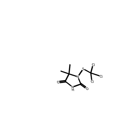 CC1(C)C(=O)NC(=O)N1SC(Cl)(Cl)Cl